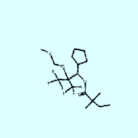 CCC(C)(C)C(=O)OC(C1CCCC1)C(OCOC)(C(F)(F)F)C(F)(F)F